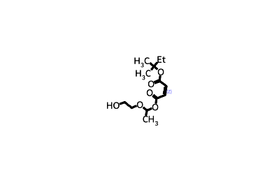 CCC(C)(C)OC(=O)/C=C\C(=O)OC(C)OCCO